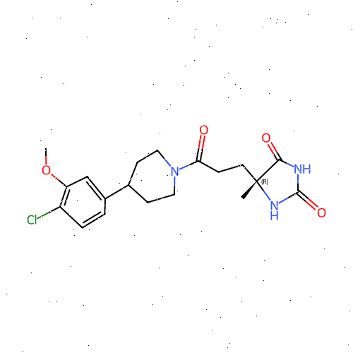 COc1cc(C2CCN(C(=O)CC[C@@]3(C)NC(=O)NC3=O)CC2)ccc1Cl